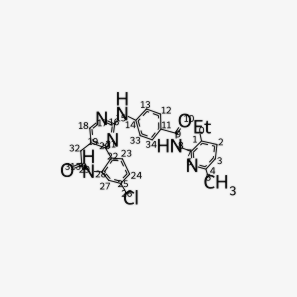 CCc1ccc(C)nc1NC(=O)c1ccc(Nc2ncc3c(n2)-c2ccc(Cl)cc2NC(=O)C3)cc1